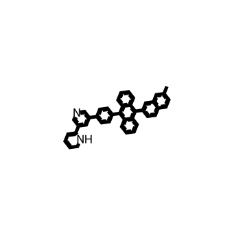 Cc1ccc2ccc(-c3c4ccccc4c(-c4ccc(-c5cncc(C6=CC=CCN6)c5)cc4)c4ccccc34)cc2c1